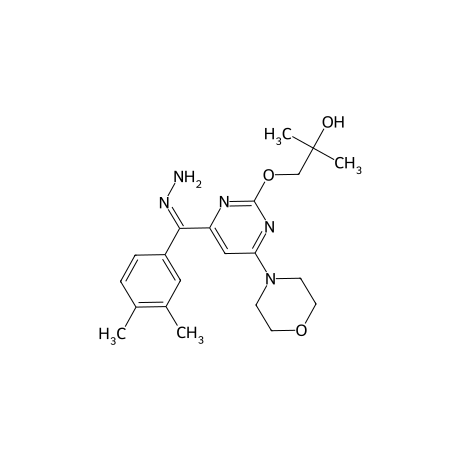 Cc1ccc(C(=NN)c2cc(N3CCOCC3)nc(OCC(C)(C)O)n2)cc1C